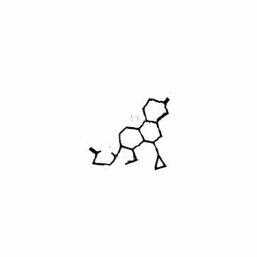 C[C@]12CCC3C(C(C4CC4)CC4=CC(=O)CC[C@@H]43)C1CC[C@@]21CCC(=O)O1